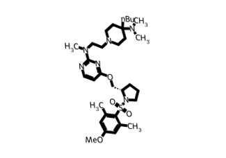 CCCCC1(N(C)C)CCN(CCN(C)c2nccc(OC[C@@H]3CCCN3S(=O)(=O)c3c(C)cc(OC)cc3C)n2)CC1